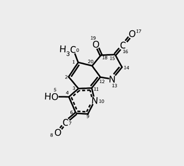 CC1=Cc2c(O)c(=C=O)cnc2=C2N=CC(=C=O)C(=O)C12